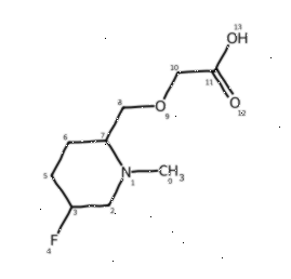 CN1CC(F)CCC1COCC(=O)O